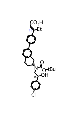 CC/C(=C\C(=O)O)c1ccc(-c2ccc3c(c2)C[C@@H](N(C[C@@H](O)c2ccc(Cl)cc2)C(=O)OC(C)(C)C)CC3)cc1